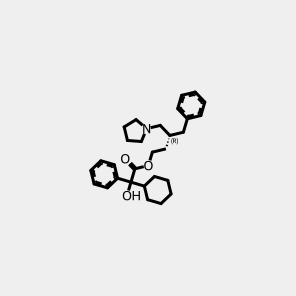 O=C(OCC[C@@H](Cc1ccccc1)CN1CCCC1)C(O)(c1ccccc1)C1CCCCC1